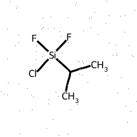 CC(C)[Si](F)(F)Cl